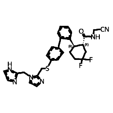 N#CCNC(=O)[C@@H]1CC(F)(F)CC[C@H]1c1ccccc1-c1ccc(SCc2nccn2Cc2ncc[nH]2)cc1